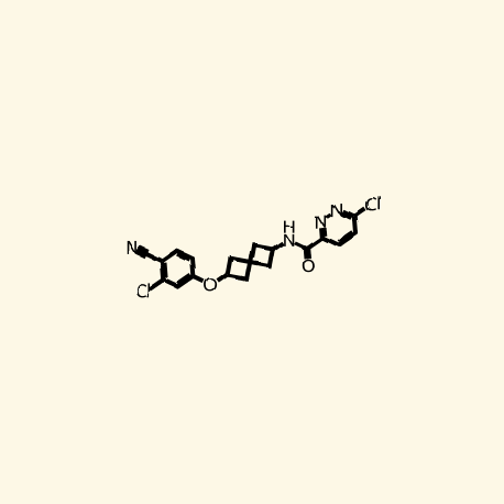 N#Cc1ccc(OC2CC3(CC(NC(=O)c4ccc(Cl)nn4)C3)C2)cc1Cl